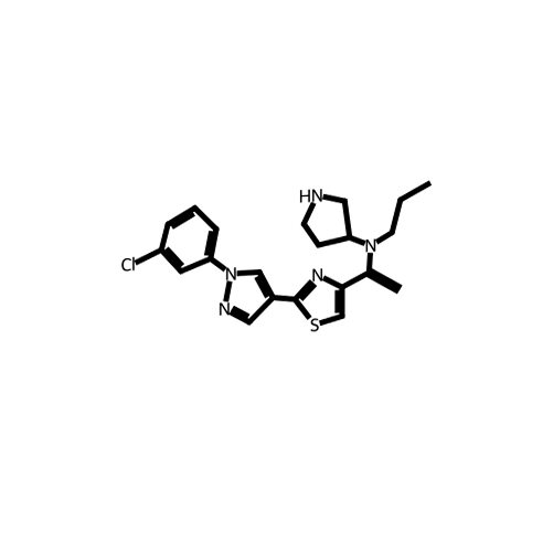 C=C(c1csc(-c2cnn(-c3cccc(Cl)c3)c2)n1)N(CCC)C1CCNC1